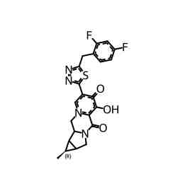 C[C@@H]1C2CN3C(=O)c4c(O)c(=O)c(-c5nnc(Cc6ccc(F)cc6F)s5)cn4CC3C21